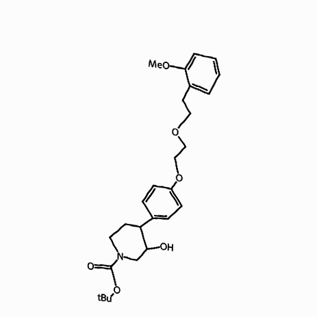 COc1ccccc1CCOCCOc1ccc(C2CCN(C(=O)OC(C)(C)C)CC2O)cc1